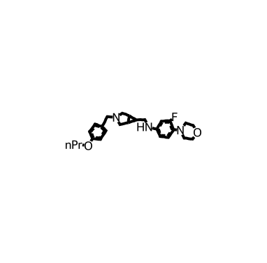 CCCOc1ccc(CN2CC3C(CNc4ccc(N5CCOCC5)c(F)c4)C3C2)cc1